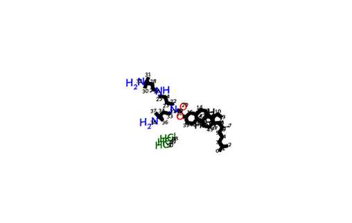 CC(C)CCC[C@@H](C)[C@H]1CC[C@H]2[C@@H]3CC=C4C[C@@H](OC(=O)N(CCCCNCCC(C)(C)N)CCC(C)(C)N)CC[C@]4(C)[C@H]3CC[C@]12C.Cl.Cl.Cl